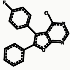 Fc1ccc(-c2c(-c3ccccc3)oc3ncnc(Cl)c23)cc1